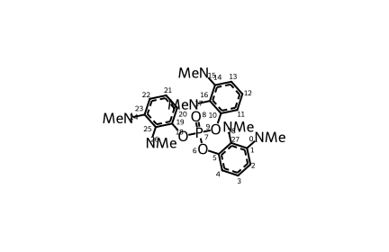 CNc1cccc(OP(=O)(Oc2cccc(NC)c2NC)Oc2cccc(NC)c2NC)c1NC